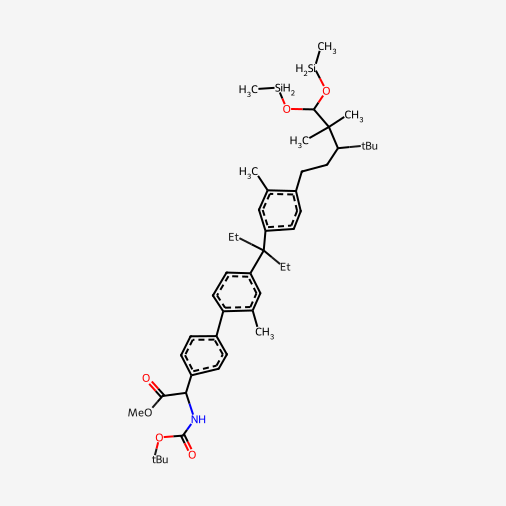 CCC(CC)(c1ccc(CCC(C(C)(C)C)C(C)(C)C(O[SiH2]C)O[SiH2]C)c(C)c1)c1ccc(-c2ccc(C(NC(=O)OC(C)(C)C)C(=O)OC)cc2)c(C)c1